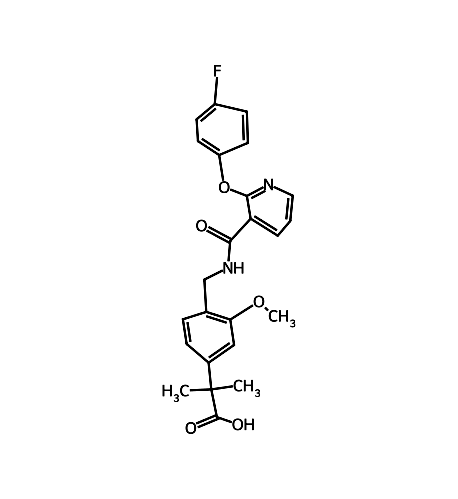 COc1cc(C(C)(C)C(=O)O)ccc1CNC(=O)c1cccnc1Oc1ccc(F)cc1